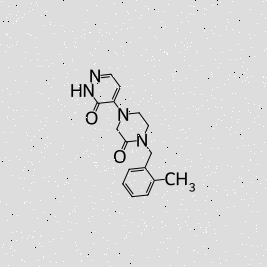 Cc1ccccc1CN1CCN(c2ccn[nH]c2=O)CC1=O